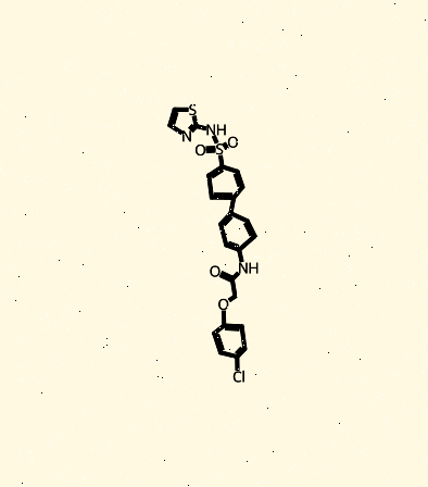 O=C(COc1ccc(Cl)cc1)Nc1ccc(-c2ccc(S(=O)(=O)Nc3nccs3)cc2)cc1